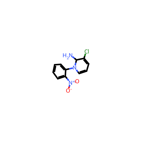 NC1C(Cl)=CC=CN1c1ccccc1[N+](=O)[O-]